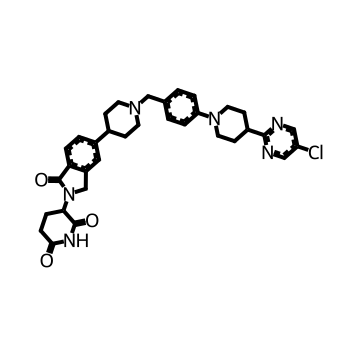 O=C1CCC(N2Cc3cc(C4CCN(Cc5ccc(N6CCC(c7ncc(Cl)cn7)CC6)cc5)CC4)ccc3C2=O)C(=O)N1